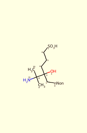 CCCCCCCCCCC(O)(CCCS(=O)(=O)O)C(C)(C)N